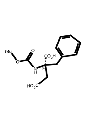 CC(C)(C)OC(=O)N[C@](CC(=O)O)(Cc1ccccc1)C(=O)O